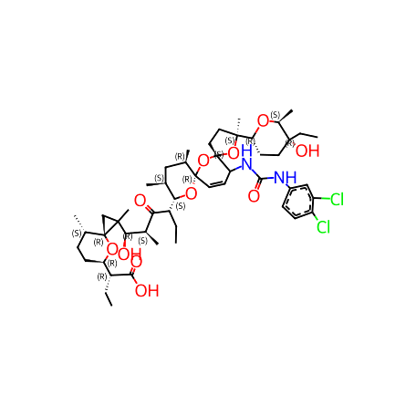 CCC(C(=O)[C@@H](C)[C@@H](O)C1(C)C[C@]12O[C@@H]([C@@H](CC)C(=O)O)CC[C@@H]2C)[C@H]1O[C@]2(C=CC(NC(=O)Nc3ccc(Cl)c(Cl)c3)[C@]3(CC[C@@](C)([C@H]4CC[C@](O)(CC)[C@H](C)O4)O3)O2)[C@H](C)C[C@@H]1C